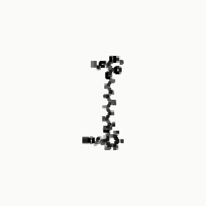 C=C(C)C(=O)OCCCCCCCCCOc1ccccc1C(=O)O